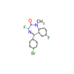 CN1C(=O)C(F)N=C(c2ccc(Br)cc2)c2cc(F)ccc21